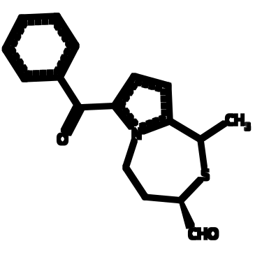 CC1S[C@@H](C=O)CCn2c(C(=O)c3ccccc3)ccc21